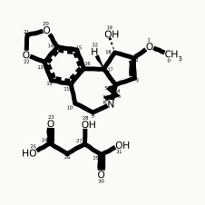 COC1=C[C@]23CCCN2CCc2cc4c(cc2[C@@H]3[C@@H]1O)OCO4.O=C(O)CC(O)C(=O)O